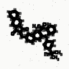 CCC(C)(C)c1ccc(N2c3ccccc3C(C)(C)c3cc4cc(C=C5C(=O)c6cc7ccccc7cc6C5=O)ccc4cc32)cc1